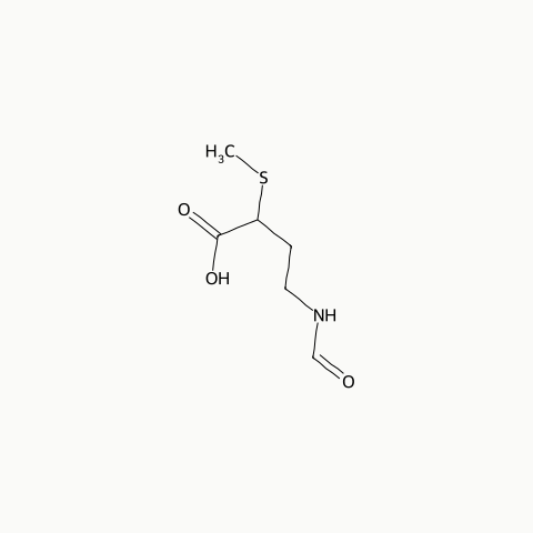 CSC(CCNC=O)C(=O)O